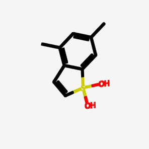 Cc1cc(C)c2c(c1)S(O)(O)C=C2